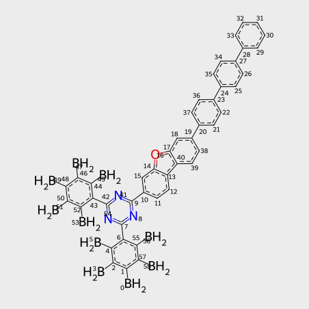 Bc1c(B)c(B)c(-c2nc(-c3ccc4c(c3)oc3cc(-c5ccc(-c6ccc(-c7ccccc7)cc6)cc5)ccc34)nc(-c3c(B)c(B)c(B)c(B)c3B)n2)c(B)c1B